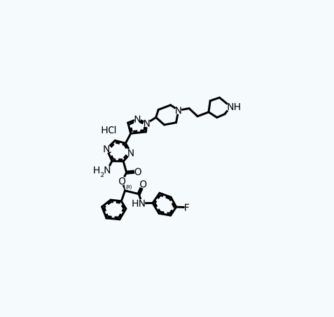 Cl.Nc1ncc(-c2cnn(C3CCN(CCC4CCNCC4)CC3)c2)nc1C(=O)O[C@@H](C(=O)Nc1ccc(F)cc1)c1ccccc1